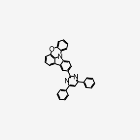 c1ccc(-c2cc(-c3ccccc3)nc(-c3ccc4c(c3)c3cccc5c3n4-c3ccccc3O5)n2)cc1